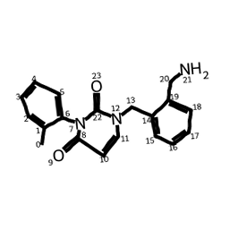 Cc1ccccc1-n1c(=O)ccn(Cc2ccccc2CN)c1=O